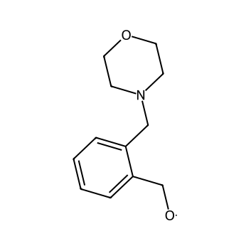 [O]Cc1ccccc1CN1CCOCC1